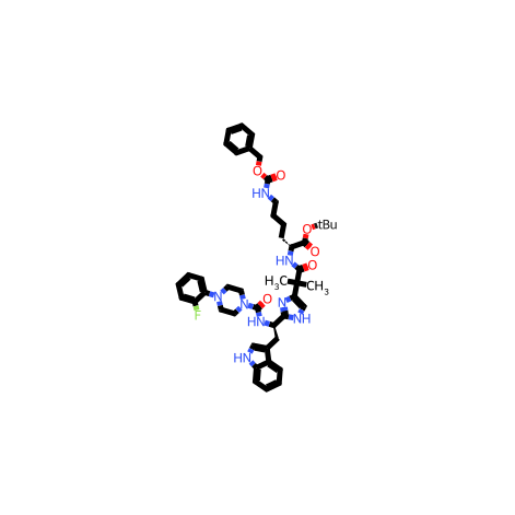 CC(C)(C)OC(=O)[C@@H](CCCCNC(=O)OCc1ccccc1)NC(=O)C(C)(C)c1c[nH]c([C@@H](Cc2c[nH]c3ccccc23)NC(=O)N2CCN(c3ccccc3F)CC2)n1